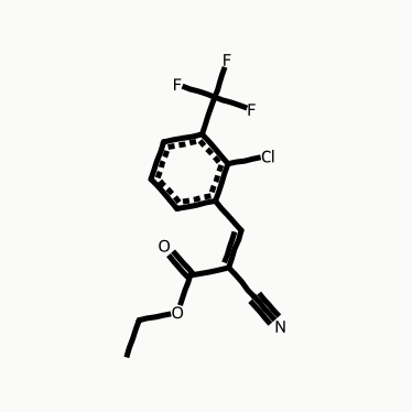 CCOC(=O)C(C#N)=Cc1cccc(C(F)(F)F)c1Cl